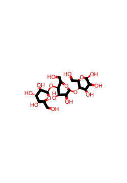 OCC1O[C@@H](O)C(O)C(O)[C@@H]1O[C@@H]1OC(CO)[C@H](O[C@H]2OC(CO)[C@H](O)[C@H](O)C2O)[C@H](O)C1O